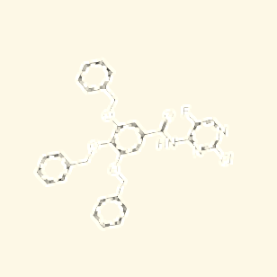 O=C(Nc1nc(Cl)ncc1F)c1cc(OCc2ccccc2)c(OCc2ccccc2)c(OCc2ccccc2)c1